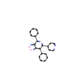 c1ccc(-c2nc(-c3ccncc3)c(-c3ccccc3)c3nonc23)cc1